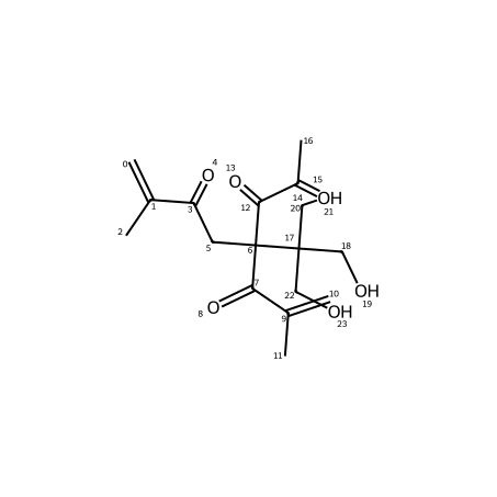 C=C(C)C(=O)CC(C(=O)C(=C)C)(C(=O)C(=C)C)C(CO)(CO)CO